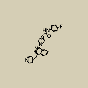 O=C(CN1CCN(c2nnc(Cc3ccncc3)c3ccccc23)CC1)Nc1ccc(F)cc1